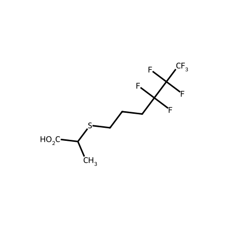 CC(SCCCC(F)(F)C(F)(F)C(F)(F)F)C(=O)O